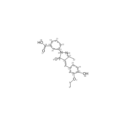 CCOc1cc(/C=C2/C(=O)N(c3cccc(C(=O)O)c3)N=C2C)ccc1O